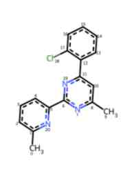 Cc1cccc(-c2nc(C)cc(-c3ccccc3Cl)n2)n1